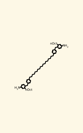 CCCCCCCCc1cc(N)ccc1Cc1ccc(CCCCCCCCCCCCCCCCCCc2ccc(Cc3ccc(N)cc3CCCCCCCC)cc2)cc1